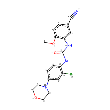 COc1ccc(C#N)cc1NC(=O)Nc1ccc(N2CCOCC2)cc1Br